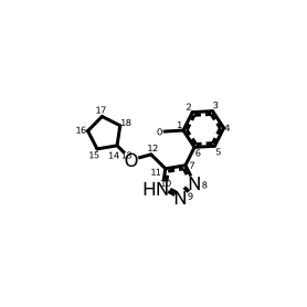 Cc1ccccc1-c1nn[nH]c1COC1CCCC1